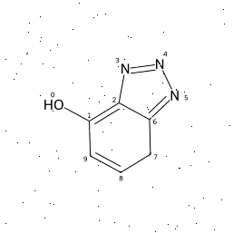 OC1=C2N=NN=C2CC=C1